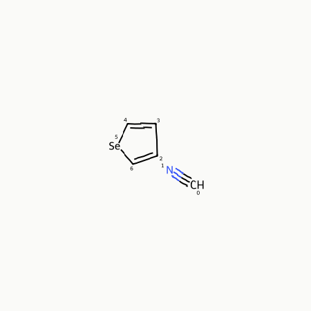 C#N.c1cc[se]c1